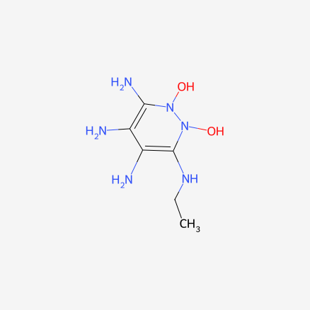 CCNC1=C(N)C(N)=C(N)N(O)N1O